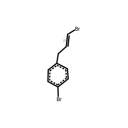 Br/C=C/Cc1ccc(Br)cc1